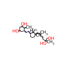 C=C1/C(=C\C=C2/CCC[C@]3(C)[C@@H]([C@H](C)CCC[C@](C)(O)CO)CC[C@@H]23)C[C@@H](O)C[C@@H]1O